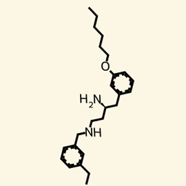 CCCCCCOc1cccc(C[C@H](N)CCNCc2cccc(CC)c2)c1